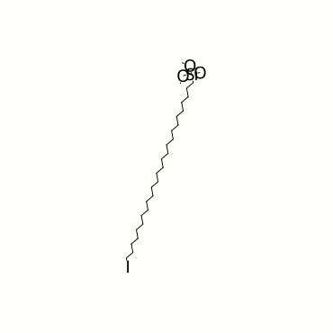 CO[Si](CCCCCCCCCCCCCCCCCCCCCCCCCCI)(OC)OC